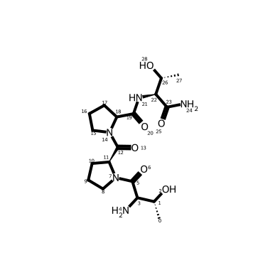 C[C@@H](O)C(N)C(=O)N1CCC[C@H]1C(=O)N1CCCC1C(=O)N[C@H](C(N)=O)[C@@H](C)O